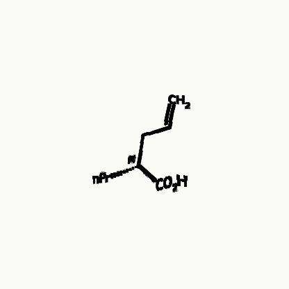 C=CC[C@@H](CCC)C(=O)O